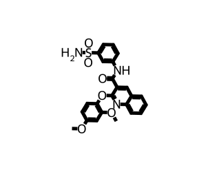 COc1ccc(Oc2nc3ccccc3cc2C(=O)Nc2cccc(S(N)(=O)=O)c2)c(OC)c1